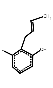 CC=CCc1c(O)cccc1F